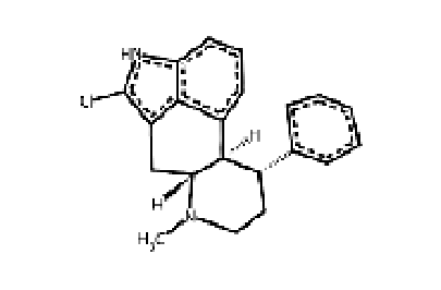 CN1CC[C@@H](c2ccccc2)[C@@H]2c3cccc4[nH]c(Cl)c(c34)C[C@H]21